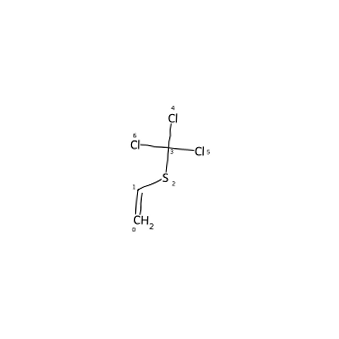 C=CSC(Cl)(Cl)Cl